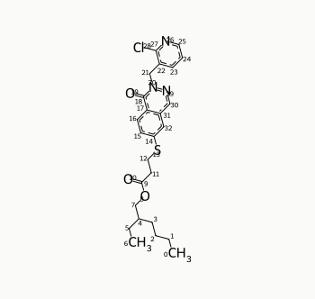 CCCCC(CC)COC(=O)CCSc1ccc2c(=O)n(Cc3cccnc3Cl)ncc2c1